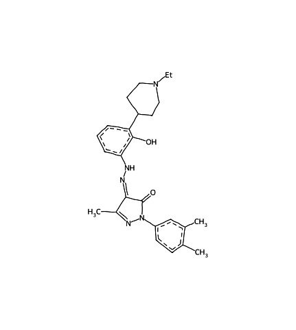 CCN1CCC(c2cccc(NN=C3C(=O)N(c4ccc(C)c(C)c4)N=C3C)c2O)CC1